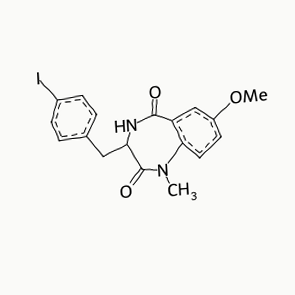 COc1ccc2c(c1)C(=O)NC(Cc1ccc(I)cc1)C(=O)N2C